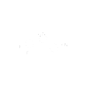 N#Cc1cccc(-c2cnnc(-c3ccc(F)c(F)c3)c2)c1